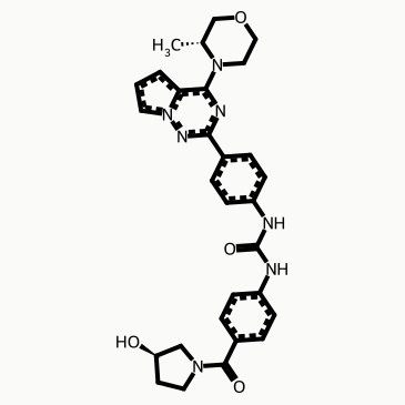 C[C@@H]1COCCN1c1nc(-c2ccc(NC(=O)Nc3ccc(C(=O)N4CC[C@@H](O)C4)cc3)cc2)nn2cccc12